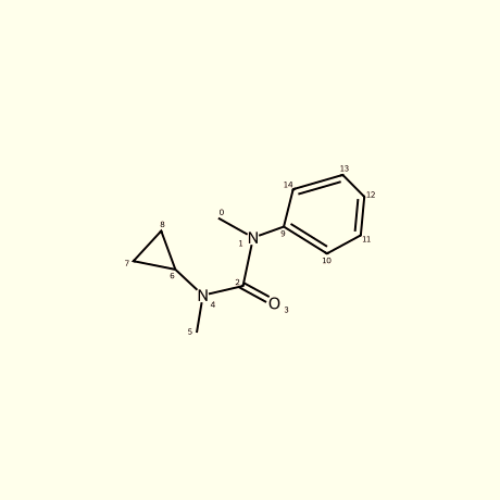 CN(C(=O)N(C)C1CC1)c1ccccc1